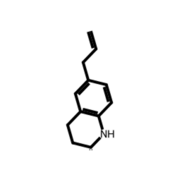 C=CCc1ccc2c(c1)CC[C]N2